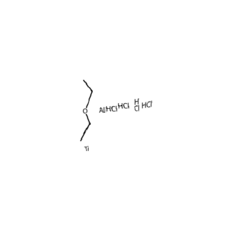 CCOCC.Cl.Cl.Cl.Cl.[Al].[Ti]